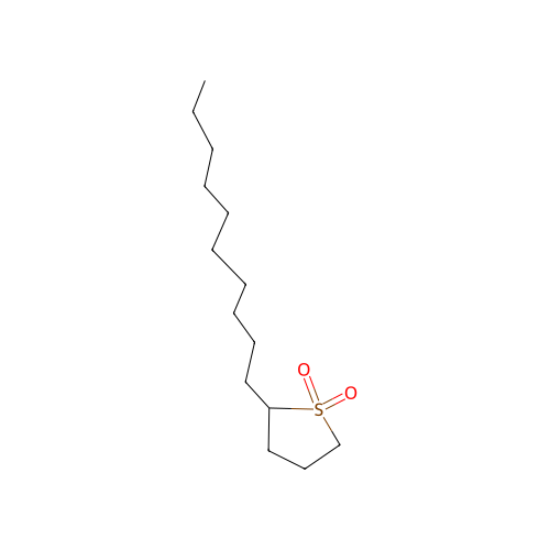 CCCCCCCCCCC1CCCS1(=O)=O